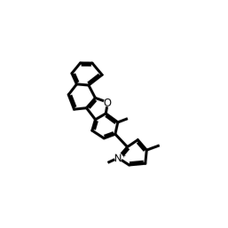 Cc1cc[n+](C)c(-c2ccc3c(oc4c5ccccc5ccc34)c2C)c1